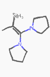 CC([SiH3])=C(N1CCCC1)N1CCCC1